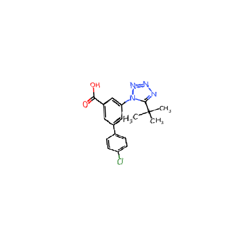 CC(C)(C)c1nnnn1-c1cc(C(=O)O)cc(-c2ccc(Cl)cc2)c1